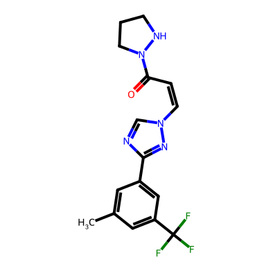 Cc1cc(-c2ncn(/C=C\C(=O)N3CCCN3)n2)cc(C(F)(F)F)c1